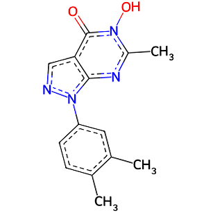 Cc1ccc(-n2ncc3c(=O)n(O)c(C)nc32)cc1C